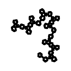 c1ccc(-c2cccc(-n3c4ccccc4c4cc(-n5c6ccccc6c6cc7c(cc65)c5ccccc5n7-c5ccc(-c6cccc(-n7c8ccccc8c8cc9c(cc87)c7ccccc7n9-c7cccc(-n8c9ccccc9c9cc(-c%10cccc(-n%11c%12ccccc%12c%12cc%13c(cc%12%11)c%11ccccc%11n%13-c%11ccc(-n%12c%13ccccc%13c%13ccccc%13%12)cc%11)c%10)ccc98)c7)c6)cc5)ccc43)c2)cc1